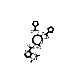 COc1ccnc(C(=O)N[C@H]2CCC[C@H](OC(=O)C3CCCC3)[C@@H](OC(=O)C3CCCC3)[C@H](C)OC2=O)c1OC(C)=O